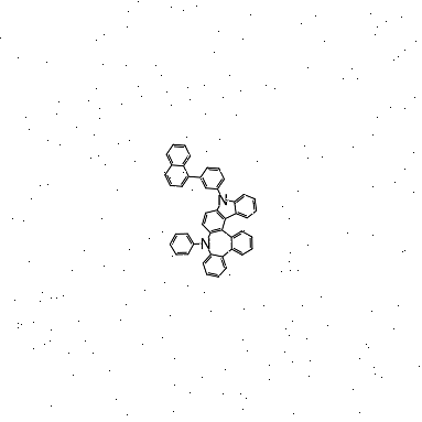 c1ccc(N2c3ccccc3-c3ccccc3-c3c2ccc2c3c3ccccc3n2-c2cccc(-c3cccc4ccccc34)c2)cc1